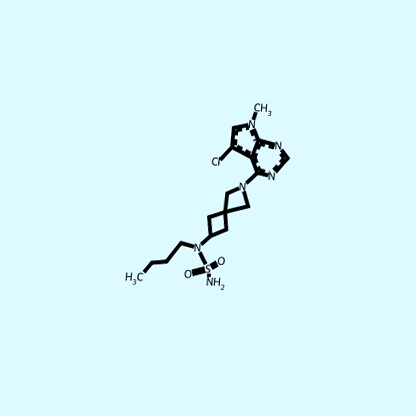 CCCCN(C1CC2(C1)CN(c1ncnc3c1c(Cl)cn3C)C2)S(N)(=O)=O